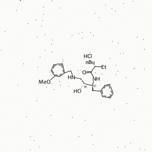 CCCCC(CC)C(=O)N[C@@H](Cc1ccccc1)[C@H](O)CNCc1cccc(OC)c1.Cl